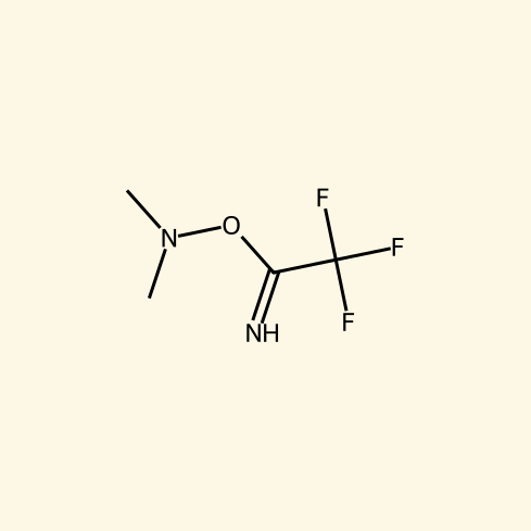 CN(C)OC(=N)C(F)(F)F